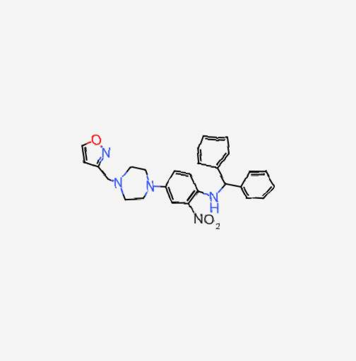 O=[N+]([O-])c1cc(N2CCN(Cc3ccon3)CC2)ccc1NC(c1ccccc1)c1ccccc1